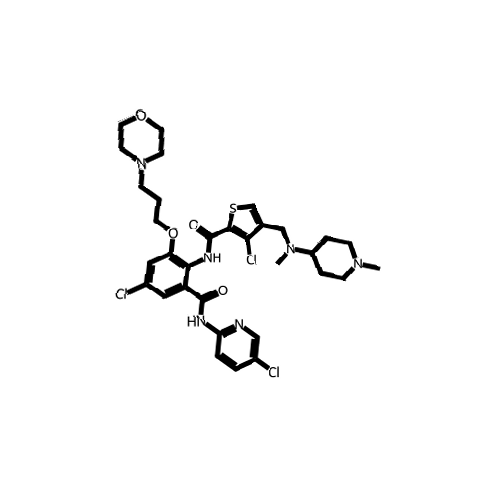 CN1CCC(N(C)Cc2csc(C(=O)Nc3c(OCCCN4CCOCC4)cc(Cl)cc3C(=O)Nc3ccc(Cl)cn3)c2Cl)CC1